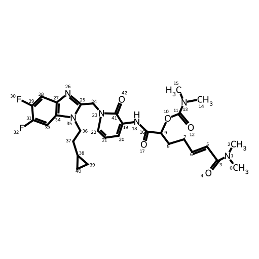 CN(C)C(=O)/C=C/CCC(OC(=O)N(C)C)C(=O)Nc1cccn(Cc2nc3cc(F)c(F)cc3n2CCC2CC2)c1=O